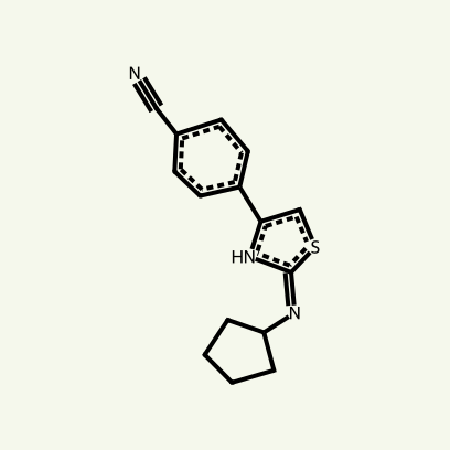 N#Cc1ccc(-c2csc(=NC3CCCC3)[nH]2)cc1